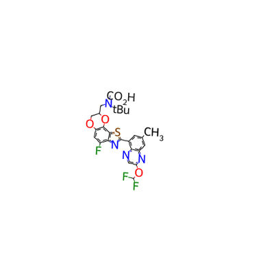 Cc1cc(-c2nc3c(F)cc4c(c3s2)OC(CN(C(=O)O)C(C)(C)C)CO4)c2ncc(OC(F)F)nc2c1